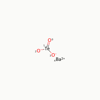 O=[Te]([O-])[O-].[Ba+2]